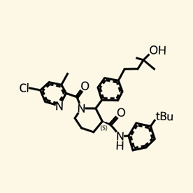 Cc1cc(Cl)cnc1C(=O)N1CCC[C@H](C(=O)Nc2cccc(C(C)(C)C)c2)C1c1ccc(CCC(C)(C)O)cc1